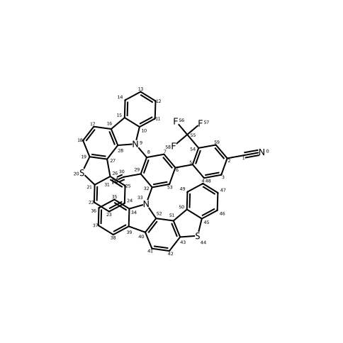 N#Cc1ccc(-c2cc(-n3c4ccccc4c4ccc5sc6ccccc6c5c43)c(C#N)c(-n3c4ccccc4c4ccc5sc6ccccc6c5c43)c2)c(C(F)(F)F)c1